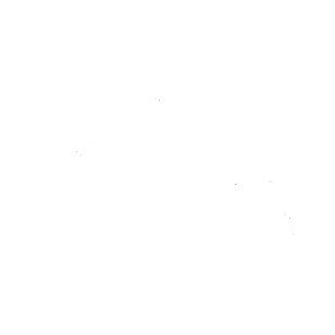 CC(=O)N1CC[C@@H](C(=O)N2CC[C@H](Oc3ccc4nccc(-c5cnc(OC(F)F)c(C)c5)c4c3C)C2)C1